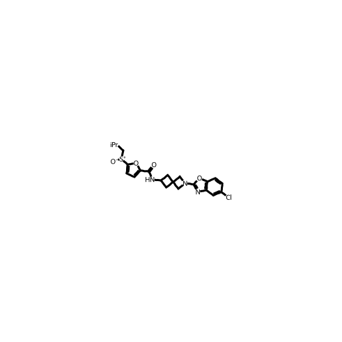 CC(C)C[S+]([O-])c1ccc(C(=O)NC2CC3(C2)CN(c2nc4cc(Cl)ccc4o2)C3)o1